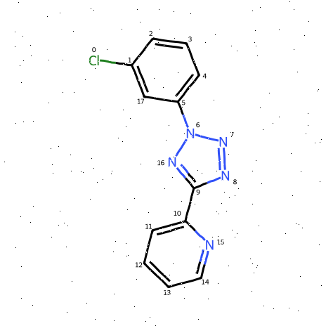 Clc1cccc(-n2nnc(-c3ccccn3)n2)c1